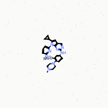 COc1cc(Nc2ncc3cc(C4CC4)n(-c4cccc(N)n4)c3n2)ccc1N1CCN(C)CC1